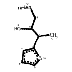 CCCCCCCC(O)C(C)c1cccs1